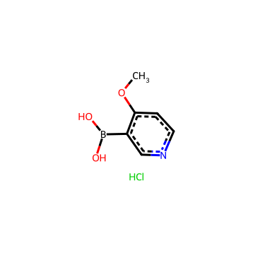 COc1ccncc1B(O)O.Cl